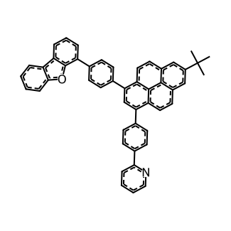 CC(C)(C)c1cc2ccc3c(-c4ccc(-c5ccccn5)cc4)cc(-c4ccc(-c5cccc6c5oc5ccccc56)cc4)c4ccc(c1)c2c34